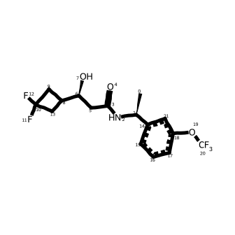 C[C@H](NC(=O)C[C@H](O)C1CC(F)(F)C1)c1cccc(OC(F)(F)F)c1